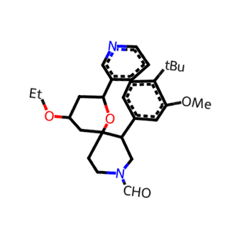 CCOC1CC(c2cccnc2)OC2(CCN(C=O)CC2c2ccc(C(C)(C)C)c(OC)c2)C1